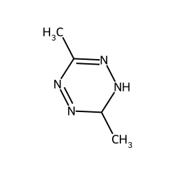 CC1=NNC(C)N=N1